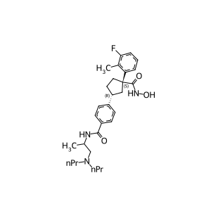 CCCN(CCC)CC(C)NC(=O)c1ccc([C@@H]2CC[C@@](C(=O)NO)(c3cccc(F)c3C)C2)cc1